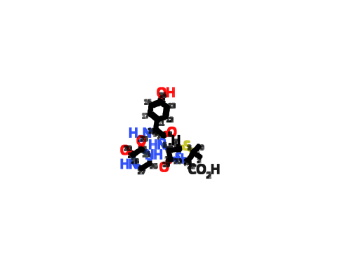 CC1(C)S[C@@H]2[C@H](NC(=O)[C@H](N)c3ccc(O)cc3)C(=O)N2[C@H]1C(=O)O.O=C1NCCNC1=O